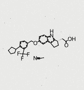 CC#N.O=C(O)C[C@@H]1CCc2c1[nH]c1ccc(OCc3ccc(C4CCCC4)c(C(F)(F)F)c3)cc21